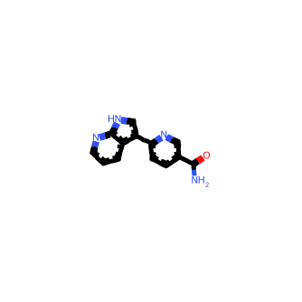 NC(=O)c1ccc(-c2c[nH]c3ncccc23)nc1